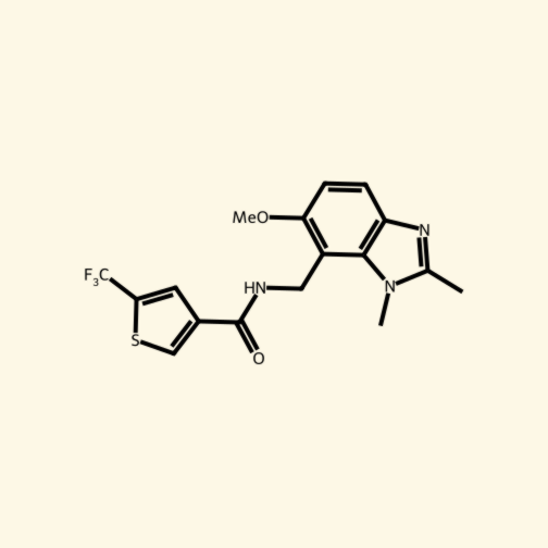 COc1ccc2nc(C)n(C)c2c1CNC(=O)c1csc(C(F)(F)F)c1